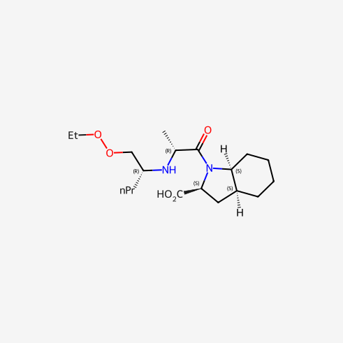 CCC[C@H](COOCC)N[C@H](C)C(=O)N1[C@H](C(=O)O)C[C@@H]2CCCC[C@@H]21